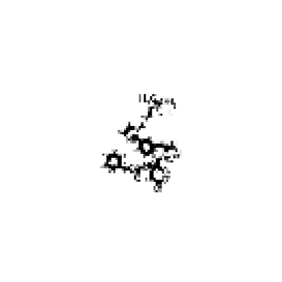 C[Si](C)(C)CCOCn1ccnc1-c1cccc(Cc2nnnn2CC(=O)C(CC(=O)O)NC(=O)OCc2ccccc2)c1